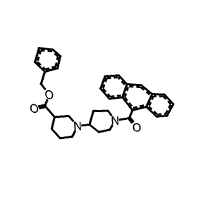 O=C(OCc1ccccc1)C1CCCN(C2CCN(C(=O)c3c4ccccc4cc4ccccc34)CC2)C1